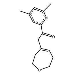 Cc1cc(C)nc(C(=O)CC2=CCCOCC2)c1